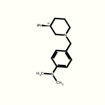 CC(C)[C@H]1CCCN(Cc2ccc(N(C)C)cc2)C1